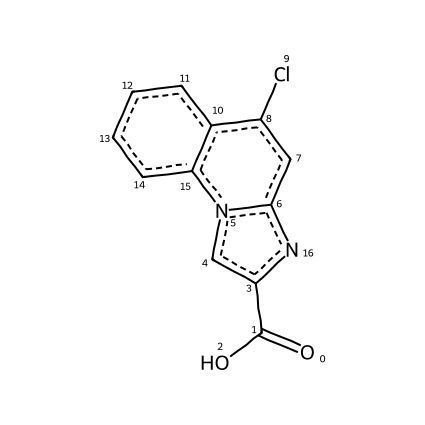 O=C(O)c1cn2c(cc(Cl)c3ccccc32)n1